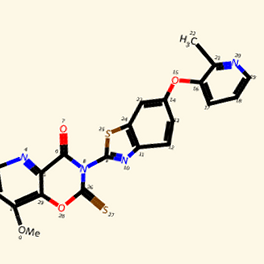 COc1ccnc2c(=O)n(-c3nc4ccc(Oc5cccnc5C)cc4s3)c(=S)oc12